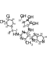 Cc1nc(NCC(F)c2ccc(Cl)c(Cl)c2)nc(NC2C[C@H](CO)[C@@H](O)[C@H]2O)c1-c1nc2cnccc2s1